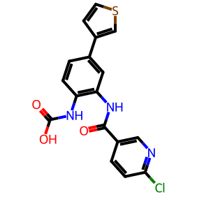 O=C(O)Nc1ccc(-c2ccsc2)cc1NC(=O)c1ccc(Cl)nc1